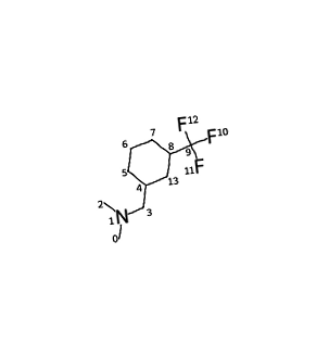 CN(C)CC1CCCC(C(F)(F)F)C1